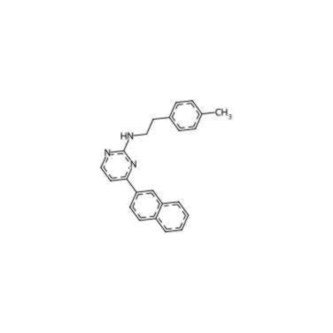 Cc1ccc(CCNc2nccc(-c3ccc4ccccc4c3)n2)cc1